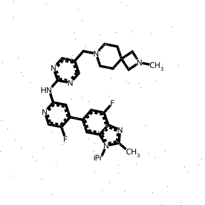 Cc1nc2c(F)cc(-c3cc(Nc4ncc(CN5CCC6(CC5)CN(C)C6)cn4)ncc3F)cc2n1C(C)C